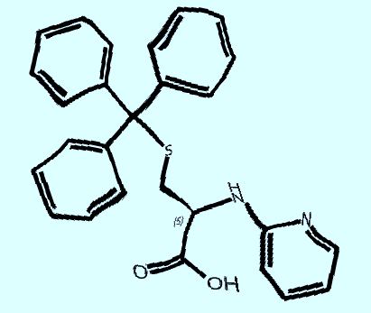 O=C(O)[C@@H](CSC(c1ccccc1)(c1ccccc1)c1ccccc1)Nc1ccccn1